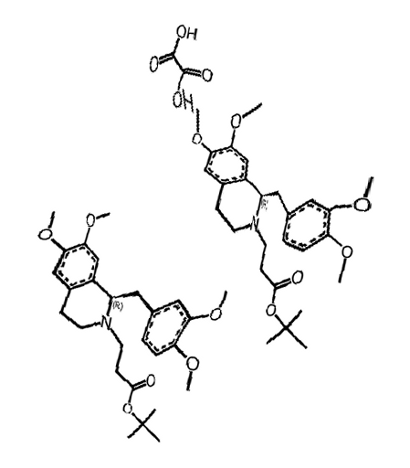 COc1ccc(C[C@@H]2c3cc(OC)c(OC)cc3CCN2CCC(=O)OC(C)(C)C)cc1OC.COc1ccc(C[C@@H]2c3cc(OC)c(OC)cc3CCN2CCC(=O)OC(C)(C)C)cc1OC.O=C(O)C(=O)O